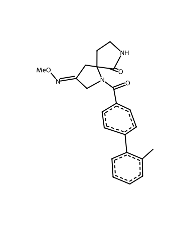 CO/N=C1/CN(C(=O)c2ccc(-c3ccccc3C)cc2)C2(CCNC2=O)C1